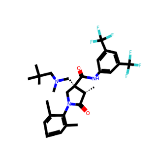 Cc1cccc(C)c1N1C[C@@](CN(C)CC(C)(C)C)(C(=O)Nc2cc(C(F)(F)F)cc(C(F)(F)F)c2)[C@H](C)C1=O